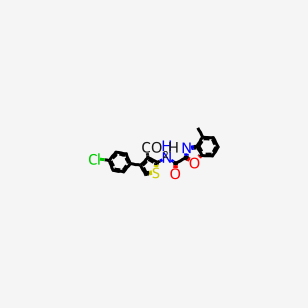 Cc1cccc2oc(C(=O)Nc3scc(-c4ccc(Cl)cc4)c3C(=O)O)nc12